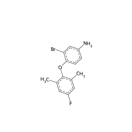 Cc1cc(F)cc(C)c1Oc1ccc(N)cc1Br